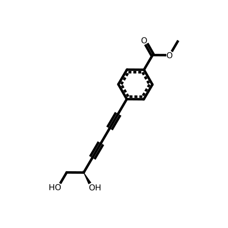 COC(=O)c1ccc(C#CC#C[C@@H](O)CO)cc1